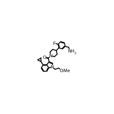 COCCn1cc(C(=O)N2CCC(c3cc(CN)ccc3F)CC2)c2c(C3CC3)cccc21